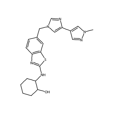 Cn1cc(-c2cn(Cc3ccc4nc(NC5CCCCC5O)sc4c3)cn2)cn1